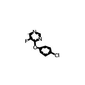 Fc1[c]ncnc1Oc1ccc(Cl)cc1